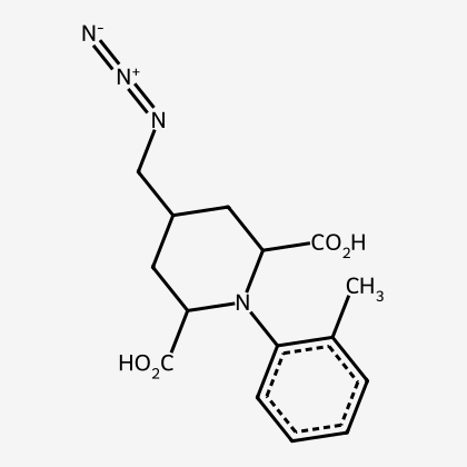 Cc1ccccc1N1C(C(=O)O)CC(CN=[N+]=[N-])CC1C(=O)O